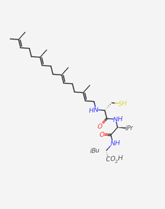 CC[C@H](C)[C@H](NC(=O)[C@@H](NC(=O)[C@@H](CS)NC/C=C(\C)CC/C=C(\C)CC/C=C(\C)CCC=C(C)C)C(C)C)C(=O)O